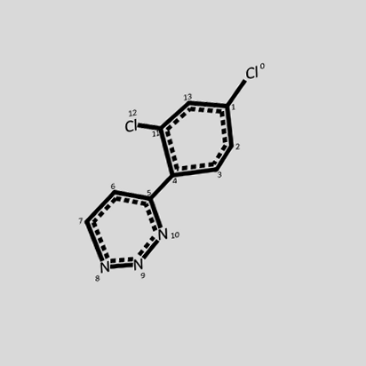 Clc1ccc(-c2ccnnn2)c(Cl)c1